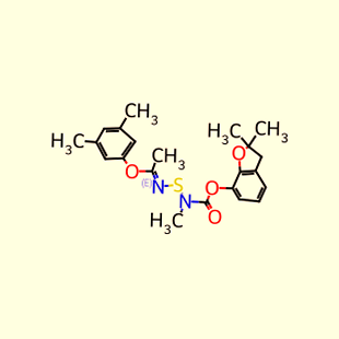 C/C(=N\SN(C)C(=O)Oc1cccc2c1OC(C)(C)C2)Oc1cc(C)cc(C)c1